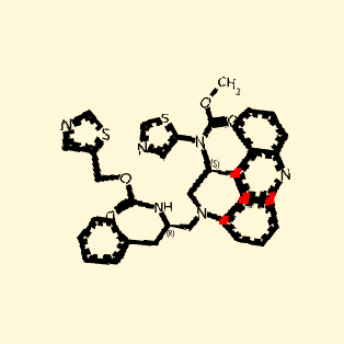 COC(=O)N(c1cncs1)[C@@H](Cc1ccccc1)CN(Cc1cnc2ccccc2c1)C[C@@H](Cc1ccccc1)NC(=O)OCc1cncs1